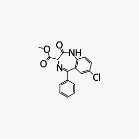 COC(=O)C1N=C(c2ccccc2)c2cc(Cl)ccc2NC1=O